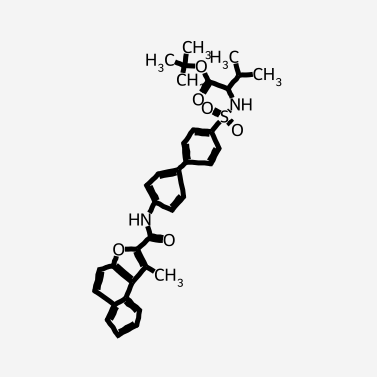 Cc1c(C(=O)Nc2ccc(-c3ccc(S(=O)(=O)NC(C(=O)OC(C)(C)C)C(C)C)cc3)cc2)oc2ccc3ccccc3c12